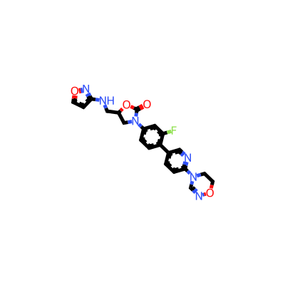 O=C1OC(CNc2ccon2)CN1c1ccc(-c2ccc(N3C=NOCC3)nc2)c(F)c1